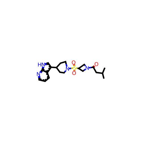 CC(C)CC(=O)N1CC(S(=O)(=O)N2CCC(c3c[nH]c4ncccc34)CC2)C1